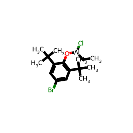 C[CH2][Al]([Cl])[O]c1c(C(C)(C)C)cc(Br)cc1C(C)(C)C